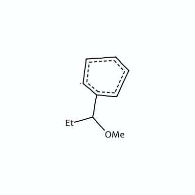 CCC(OC)c1[c]cccc1